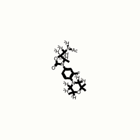 [2H]N(C(C)=O)C([2H])([2H])[C@]1([2H])OC(=O)N(c2ccc(N3C([2H])([2H])C([2H])(C)OC(C)(C)C3([2H])[2H])c(F)c2)C1([2H])C